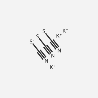 N#C[S-].N#C[S-].N#C[S-].[K+].[K+].[K+]